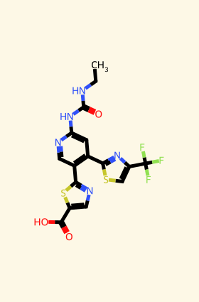 CCNC(=O)Nc1cc(-c2nc(C(F)(F)F)cs2)c(-c2ncc(C(=O)O)s2)cn1